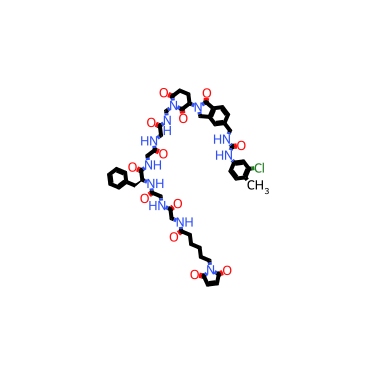 Cc1ccc(NC(=O)NCc2ccc3c(c2)CN(C2CCC(=O)N(CNC(=O)CNC(=O)CNC(=O)[C@H](Cc4ccccc4)NC(=O)CNC(=O)CNC(=O)CCCCCN4C(=O)C=CC4=O)C2=O)C3=O)cc1Cl